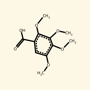 COc1cc(C(=O)O)c(OC)c(OC)c1OC